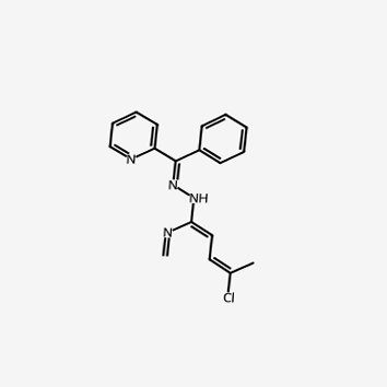 C=N/C(=C\C=C(/C)Cl)N/N=C(\c1ccccc1)c1ccccn1